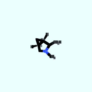 CN1C[C@H]2C[C@H]2C1C(=O)O